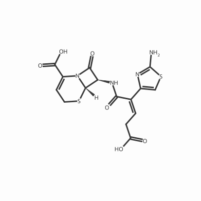 Nc1nc(/C(=C/CC(=O)O)C(=O)N[C@@H]2C(=O)N3C(C(=O)O)=CCS[C@@H]23)cs1